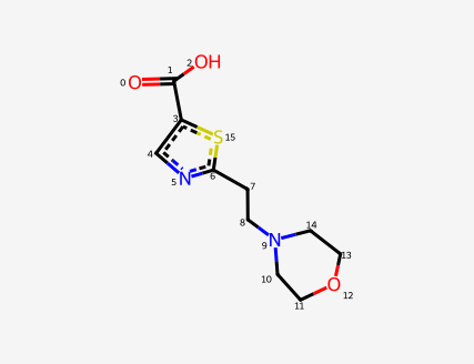 O=C(O)c1cnc(CCN2CCOCC2)s1